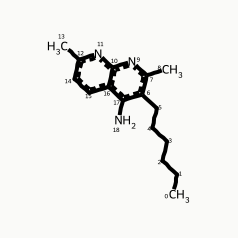 CCCCCCc1c(C)nc2nc(C)ccc2c1N